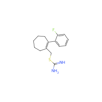 N=C(N)SCC1=C(c2ccccc2F)CCCCC1